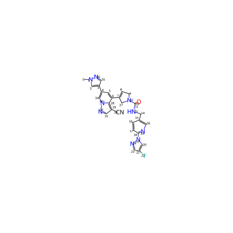 Cn1cc(-c2cc(C3=CCN(C(=O)NCc4ccc(-n5cc(F)cn5)nc4)C3)c3c(C#N)cnn3c2)cn1